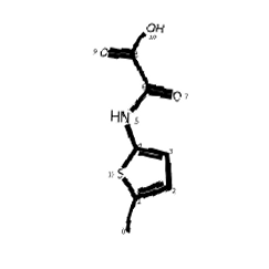 Cc1ccc(NC(=O)C(=O)O)s1